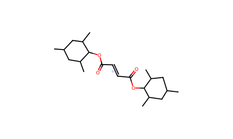 CC1CC(C)C(OC(=O)/C=C/C(=O)OC2C(C)CC(C)CC2C)C(C)C1